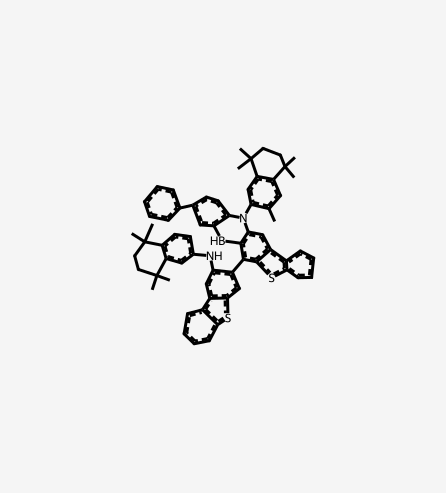 Cc1cc2c(cc1N1c3ccc(-c4ccccc4)cc3Bc3c1cc1c(sc4ccccc41)c3-c1cc3sc4ccccc4c3cc1Nc1ccc3c(c1)C(C)(C)CCC3(C)C)C(C)(C)CCC2(C)C